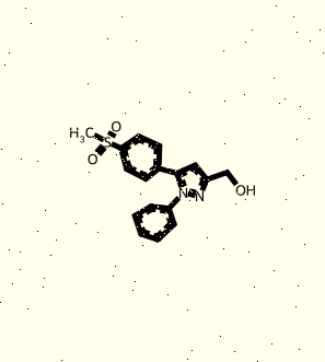 CS(=O)(=O)c1ccc(-c2cc(CO)nn2-c2ccccc2)cc1